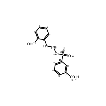 O=Cc1ccccc1NNOS(=O)(=O)c1cccc(C(=O)O)c1